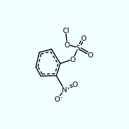 O=[N+]([O-])c1ccccc1OS(=O)(=O)OCl